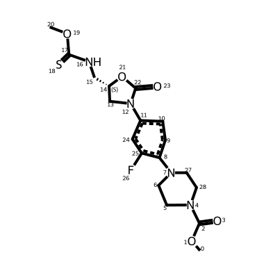 COC(=O)N1CCN(c2ccc(N3C[C@H](CNC(=S)OC)OC3=O)cc2F)CC1